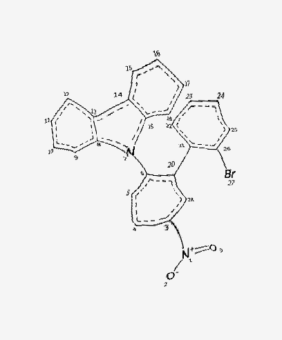 O=[N+]([O-])c1ccc(-n2c3ccccc3c3ccccc32)c(-c2ccccc2Br)c1